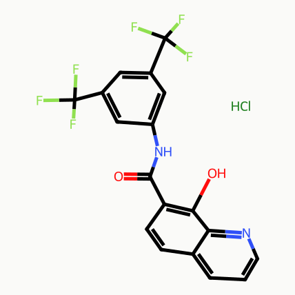 Cl.O=C(Nc1cc(C(F)(F)F)cc(C(F)(F)F)c1)c1ccc2cccnc2c1O